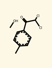 CO.Cc1ccc(C(=O)C(Cl)Cl)cc1